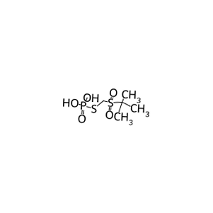 CC(C)(C)S(=O)(=O)CSP(=O)(O)O